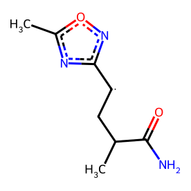 Cc1nc([CH]CC(C)C(N)=O)no1